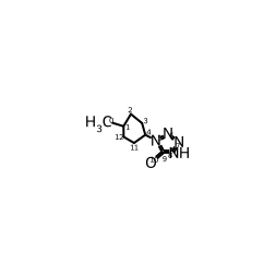 CC1CCC(n2nn[nH]c2=O)CC1